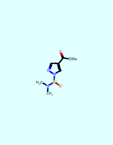 COC(=O)c1cnn([S+]([O-])N(C)C)c1